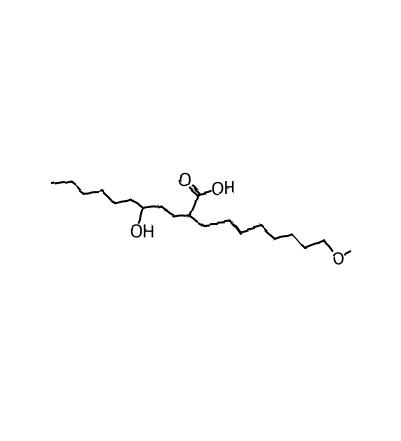 CCCCCCC(O)CCC(CCCCCCCCOC)C(=O)O